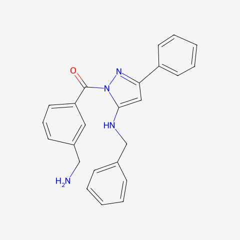 NCc1cccc(C(=O)n2nc(-c3ccccc3)cc2NCc2ccccc2)c1